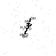 CCC(C)(C(=O)C(N)CCC(=O)NO)C(C)(C)NCCO